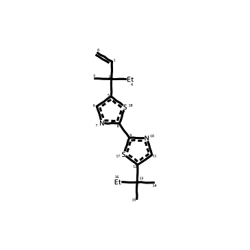 C=CC(C)(CC)c1cnc(-c2ncc(C(C)(C)CC)s2)s1